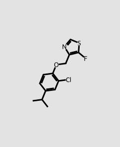 CC(C)c1ccc(OCc2ncsc2F)c(Cl)c1